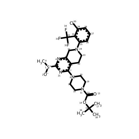 C[S+]([O-])c1nc2c(c(N3CCN(C(=O)OC(C)(C)C)CC3)n1)CCN(c1cccc(Cl)c1C(F)(F)F)C2